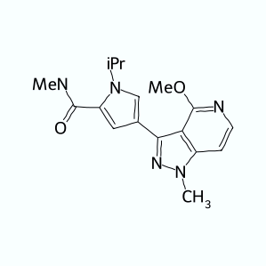 CNC(=O)c1cc(-c2nn(C)c3ccnc(OC)c23)cn1C(C)C